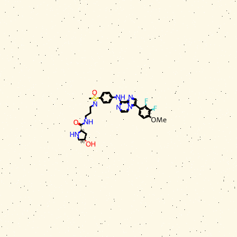 COc1ccc(-c2cnc3c(Nc4ccc(S(C)(=O)=NCCCNC(=O)[C@@H]5C[C@@H](O)CN5)cc4)nccn23)c(F)c1F